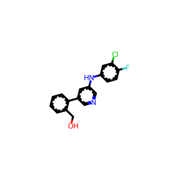 OCc1ccccc1-c1cncc(Nc2ccc(F)c(Cl)c2)c1